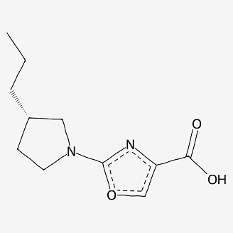 CCC[C@H]1CCN(c2nc(C(=O)O)co2)C1